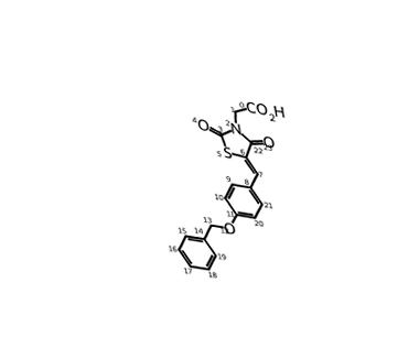 O=C(O)CN1C(=O)S/C(=C\c2ccc(OCc3ccccc3)cc2)C1=O